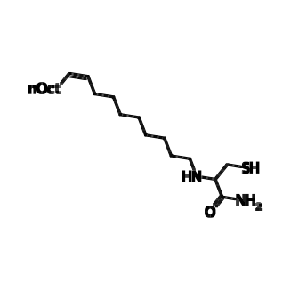 CCCCCCCC/C=C\CCCCCCCCNC(CS)C(N)=O